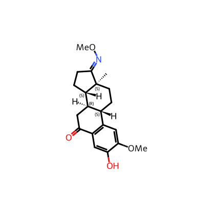 CON=C1CC[C@H]2[C@@H]3CC(=O)c4cc(O)c(OC)cc4[C@H]3CC[C@]12C